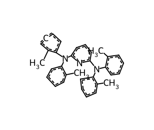 Cc1ccccc1N(c1cccc(N(c2ccccc2C)c2ccccc2C)n1)c1ccccc1C